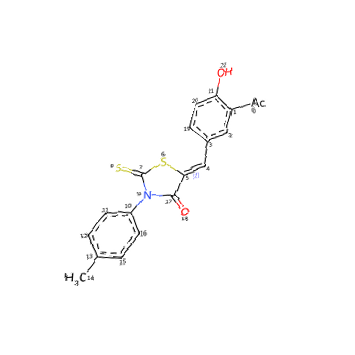 CC(=O)c1cc(/C=C2\SC(=S)N(c3ccc(C)cc3)C2=O)ccc1O